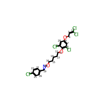 ClC(Cl)=CCOc1cc(Cl)c(OCCCCCON=Cc2ccc(Cl)cc2)c(Cl)c1